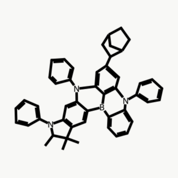 CC1N(c2ccccc2)c2cc3c(cc2C1(C)C)B1c2ccccc2N(c2ccccc2)c2cc(C4CC5CCC4C5)cc(c21)N3c1ccccc1